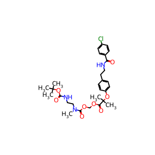 CN(CCNC(=O)OC(C)(C)C)C(=O)OCOC(=O)C(C)(C)Oc1ccc(CCNC(=O)c2ccc(Cl)cc2)cc1